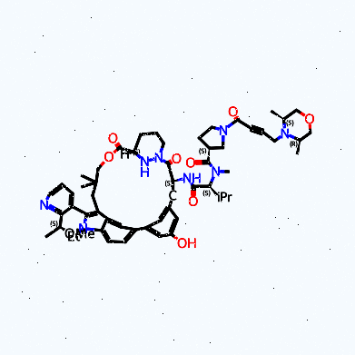 CCn1c(-c2cccnc2[C@H](C)OC)c2c3cc(ccc31)-c1cc(O)cc(c1)C[C@H](NC(=O)[C@H](C(C)C)N(C)C(=O)[C@H]1CCN(C(=O)C#CCN3[C@H](C)COC[C@@H]3C)C1)C(=O)N1CCC[C@H](N1)C(=O)OCC(C)(C)C2